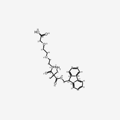 CC(CN)(C(=O)NCCOCCOCC(=O)O)C(=O)OCC1c2ccccc2-c2ccccc21